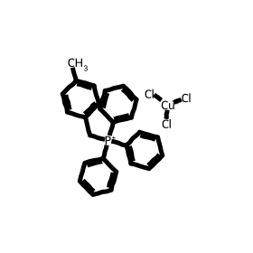 Cc1ccc(C[P+](c2ccccc2)(c2ccccc2)c2ccccc2)cc1.[Cl][Cu-]([Cl])[Cl]